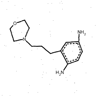 Nc1ccc(N)c(CCCN2CCOCC2)c1